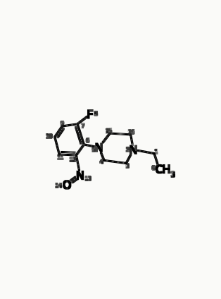 CCN1CCN(c2c(F)cccc2N=O)CC1